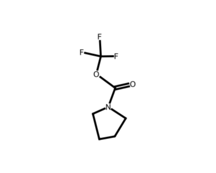 O=C(OC(F)(F)F)N1CCCC1